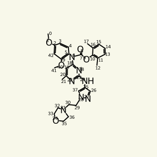 COc1ccc(N(C(=O)Oc2c(C)cccc2C)c2cc(C)nc(Nc3cnn(CCN4CCOCC4)c3)n2)c(OC)c1